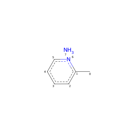 Cc1ccccn1.N